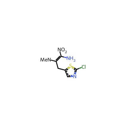 CNC(Cc1cnc(Cl)s1)=C(N)[N+](=O)[O-]